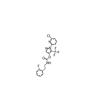 O=C(NCCc1ccccc1F)Oc1cnn(-c2cccc(Cl)n2)c1C(F)(F)F